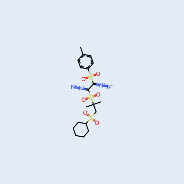 Cc1ccc(S(=O)(=O)C(=[N+]=[N-])C(=[N+]=[N-])S(=O)(=O)C(C)(C)CS(=O)(=O)C2CCCCC2)cc1